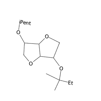 CCCC(C)OC1COC2C(OC(C)(C)CC)COC12